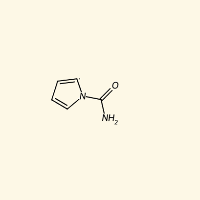 NC(=O)n1[c]ccc1